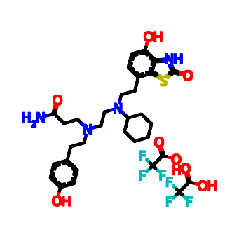 NC(=O)CCN(CCc1ccc(O)cc1)CCN(CCc1ccc(O)c2[nH]c(=O)sc12)C1CCCCC1.O=C(O)C(F)(F)F.O=C(O)C(F)(F)F